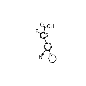 N#Cc1cc(-c2cc(F)c(C(=O)O)s2)ccc1N1CCCCC1